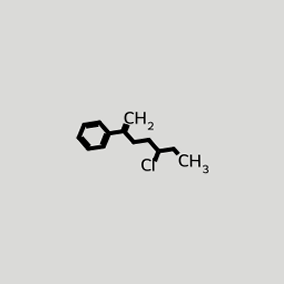 C=C(CCC(Cl)CC)c1ccccc1